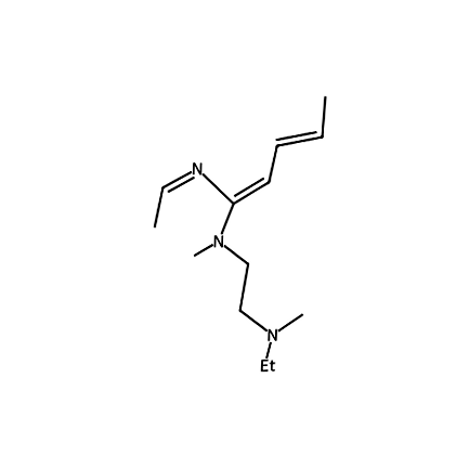 CC=C/C=C(\N=C/C)N(C)CCN(C)CC